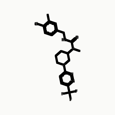 Cc1cc(CNC(=O)N(C)C2CCCN(c3ccc(C(F)(F)F)nn3)C2)ccc1Cl